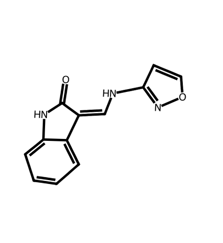 O=C1Nc2ccccc2C1=CNc1ccon1